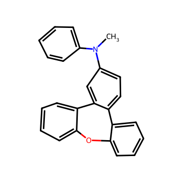 CN(c1ccccc1)c1ccc2c(c1)-c1ccccc1Oc1ccccc1-2